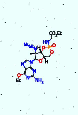 CCOC(=O)CNP1(=O)OC[C@@H]2O[C@@H](n3cnc4c(OCC)nc(N)nc43)[C@](C)(N=[N+]=[N-])[C@@H]2O1